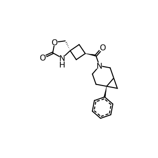 O=C1N[C@]2(CO1)C[C@H](C(=O)N1CC[C@@]3(c4ccccc4)CC3C1)C2